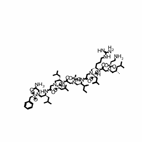 CCC(C)[C@@H](CN(CC(=O)N[C@@H](CC(C)C)CN(CC(=O)N[C@@H](CC(C)C)CN(CC(N)=O)S(=O)(=O)Cc1ccccc1)S(=O)(=O)CC(C)C)S(C)(=O)=O)NC(=O)CN(C[C@H](CCCNC(=N)N)NC(=O)CN(C[C@@H](C)CC(C)C)S(=O)(=O)CCN)S(=O)(=O)CC(C)C